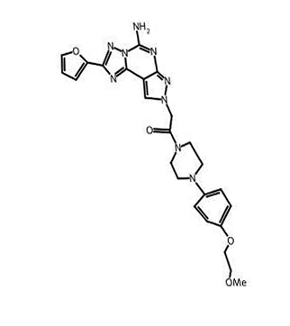 COCCOc1ccc(N2CCN(C(=O)Cn3cc4c(nc(N)n5nc(-c6ccco6)nc45)n3)CC2)cc1